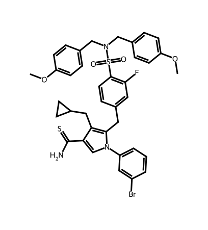 COc1ccc(CN(Cc2ccc(OC)cc2)S(=O)(=O)c2ccc(Cc3c(CC4CC4)c(C(N)=S)cn3-c3cccc(Br)c3)cc2F)cc1